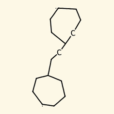 [CH]1CCCC(CCC2CC[CH]CCC2)CC1